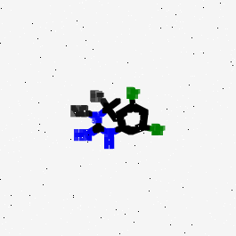 CCC(C)(C)N(C#N)C(=N)Nc1cc(Br)cc(Br)c1